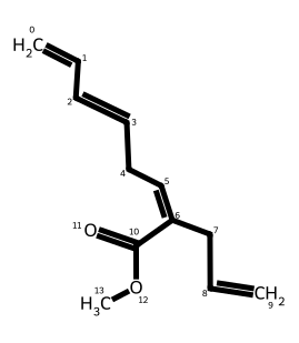 C=CC=CCC=C(CC=C)C(=O)OC